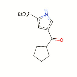 CCOC(=O)c1cc(C(=O)C2CCCC2)c[nH]1